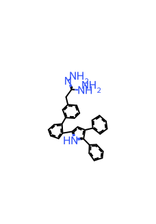 N/N=C(/Cc1cccc(-c2ccccc2-c2cc(-c3ccccc3)c(-c3ccccc3)[nH]2)c1)NN